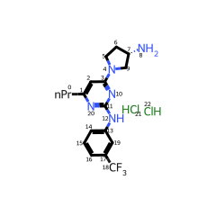 CCCc1cc(N2CC[C@H](N)C2)nc(Nc2cccc(C(F)(F)F)c2)n1.Cl.Cl